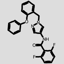 O=C(Nc1cnn(Cc2ccccc2Oc2ccccc2)c1)c1c(F)cccc1F